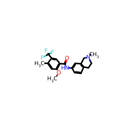 COc1cc(C)c(C(F)(F)F)cc1C(=O)Nc1ccc2c(c1)CN(C)CC2